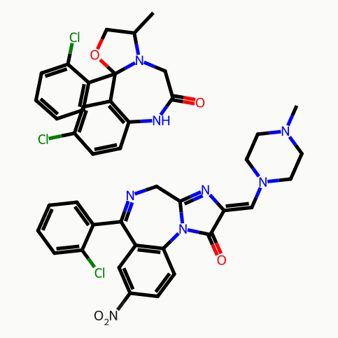 CC1COC2(c3ccccc3Cl)c3cc(Cl)ccc3NC(=O)CN12.CN1CCN(/C=C2\N=C3CN=C(c4ccccc4Cl)c4cc([N+](=O)[O-])ccc4N3C2=O)CC1